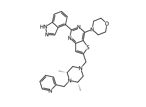 C[C@@H]1CN(Cc2cc3nc(-c4cccc5[nH]ncc45)nc(N4CCOCC4)c3s2)C[C@H](C)N1Cc1ccccn1